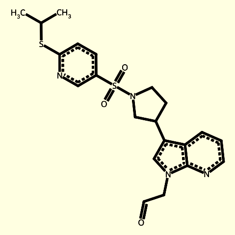 CC(C)Sc1ccc(S(=O)(=O)N2CCC(c3cn(CC=O)c4ncccc34)C2)cn1